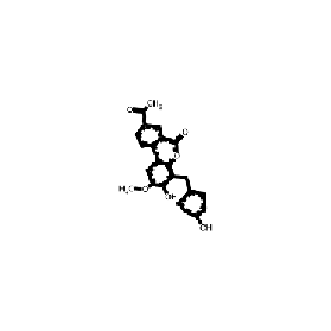 COc1cc2c(oc(=O)c3cc(C(C)=O)ccc32)c(Cc2ccc(O)cc2)c1O